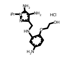 CC(C)n1nc(CNc2cc(N)ccc2OCCO)c(N)c1N.Cl